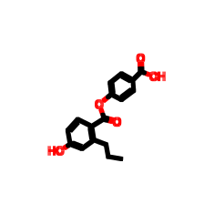 CCCc1cc(O)ccc1C(=O)Oc1ccc(C(=O)O)cc1